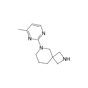 Cc1ccnc(N2CCCC3(CNC3)C2)n1